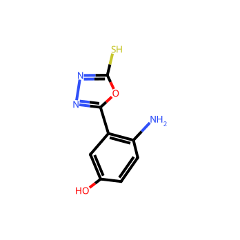 Nc1ccc(O)cc1-c1nnc(S)o1